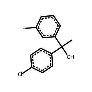 CC(O)(c1ccc(Cl)cc1)c1cccc(F)c1